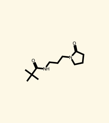 CC(C)(C)C(=O)NCCCN1CCCC1=O